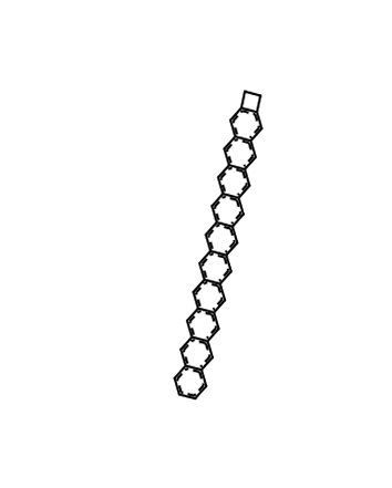 c1ccc2cc3cc4cc5cc6cc7cc8cc9cc%10cc%11c(cc%10cc9cc8cc7cc6cc5cc4cc3cc2c1)CC%11